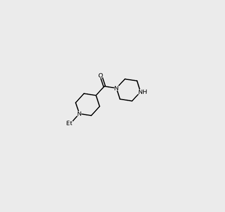 CCN1CCC(C(=O)N2CCNCC2)CC1